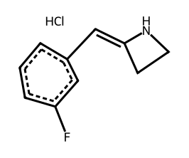 Cl.Fc1cccc(C=C2CCN2)c1